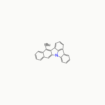 CC(C)(C)c1c2ccccc2cc2c1c1cccc3c4ccccc4n2c31